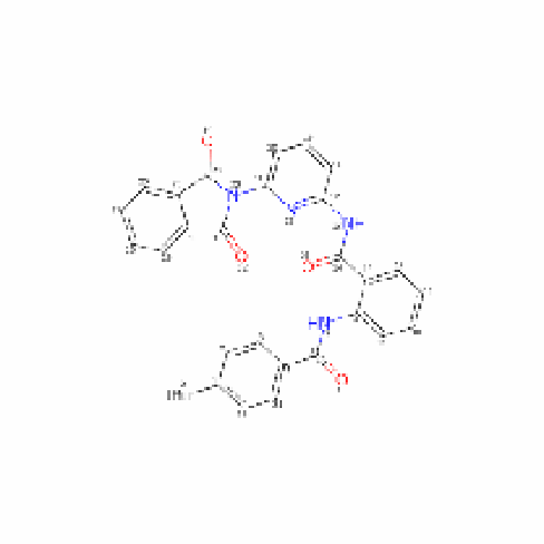 CC(C)(C)c1ccc(C(=O)Nc2ccccc2C(=O)Nc2cccc(N3C(=O)c4ccccc4C3=O)n2)cc1